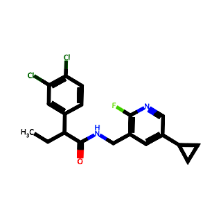 CCC(C(=O)NCc1cc(C2CC2)cnc1F)c1ccc(Cl)c(Cl)c1